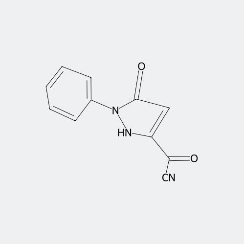 N#CC(=O)c1cc(=O)n(-c2ccccc2)[nH]1